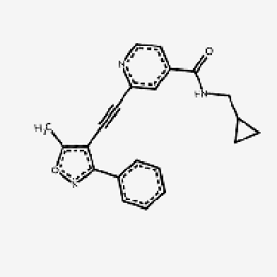 Cc1onc(-c2ccccc2)c1C#Cc1cc(C(=O)NCC2CC2)ccn1